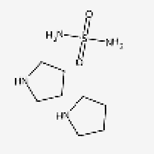 C1CCNC1.C1CCNC1.NS(N)(=O)=O